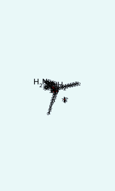 CCCCCCCCCCCCCCCCCC[Si](C)(C)C([N+](CC)(CC)CCC[n+]1c(-c2ccccc2)c2cc(N)ccc2c2ccc(N)cc21)[Si](C)(C)CCCCCCCCCCCCCCCCCC.[I-].[I-]